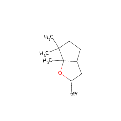 CCCC1CC2CCC(C)(C)C2(C)O1